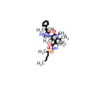 CCCCC(C)S(=O)(=O)NC(=O)C(C)=C[C@H](C(C)C)N(C)C(=O)[C@@H](NC(=O)[C@@H](NC)C(C)(C)c1ccccc1)C(C)(C)C